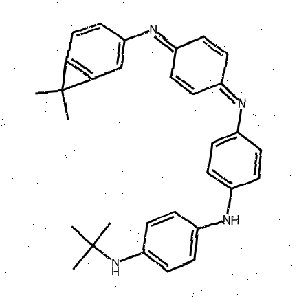 CC(C)(C)Nc1ccc(Nc2ccc(N=C3C=CC(=Nc4ccc5c(c4)C5(C)C)C=C3)cc2)cc1